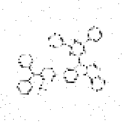 CC1(C)c2ccccc2N(c2ccccc2)c2ccc(-c3ccc4c5c6ccccc6ccc5n(-c5nc(-c6ccccc6)nc(-c6ccccc6)n5)c4c3)cc21